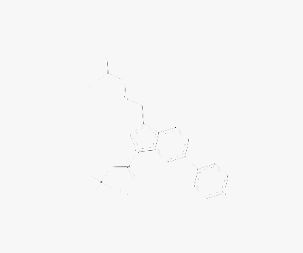 CC(C)SNCc1cn(C(=O)OC(C)(C)O)c2cc(-c3ccncc3)ccc12